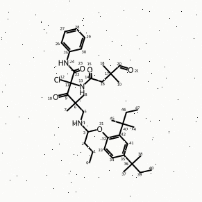 CCCC(NCC(C)(C)C(=O)C(Cl)(NC(=O)CC(C)(C)C=O)C(=O)Nc1ccccc1)Oc1ccc(C(C)(C)CC)cc1C(C)(C)CC